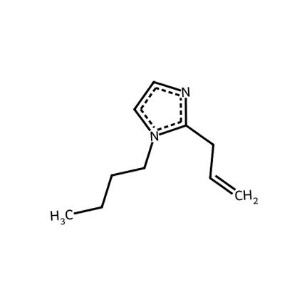 C=CCc1nccn1CCCC